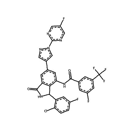 O=C(Nc1cc(-c2cnn(-c3ncc(F)cn3)c2)cc2c1C(c1cc(F)ccc1Cl)NC2=O)c1cc(F)cc(C(F)(F)F)c1